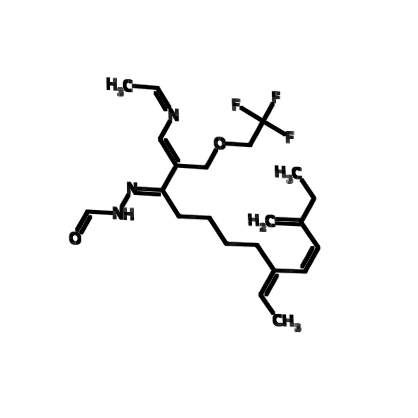 C=C(/C=C\C(=C/C)CCCCC(=N\NC=O)/C(=C/N=C\C)COCC(F)(F)F)CC